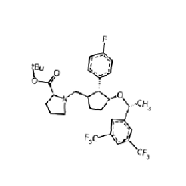 C[C@@H](O[C@H]1CC[C@@H](CN2CCC[C@H]2C(=O)OC(C)(C)C)[C@@H]1c1ccc(F)cc1)c1cc(C(F)(F)F)cc(C(F)(F)F)c1